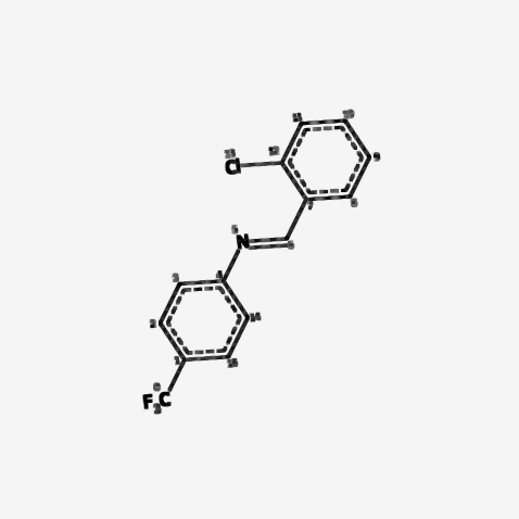 FC(F)(F)c1ccc(N=Cc2ccccc2Cl)cc1